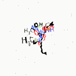 Cc1ccc(C(=O)N[C@@H](CCCCC/C=C\C2CC2)C(=O)N2C[C@H](Oc3nc4c(F)cccc4nc3C)C[C@H]2C(=O)NCC(=O)NS(=O)(=O)C2(C)CC2)s1